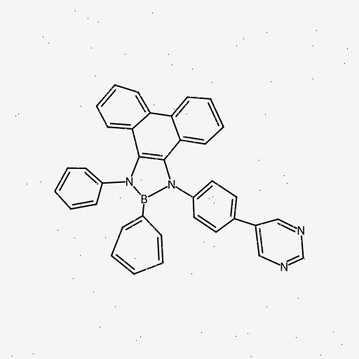 c1ccc(B2N(c3ccccc3)c3c(c4ccccc4c4ccccc34)N2c2ccc(-c3cncnc3)cc2)cc1